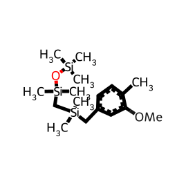 COc1cc(C[Si](C)(C)C[Si](C)(C)O[Si](C)(C)C)ccc1C